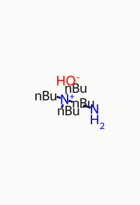 CCCC[N+](CCCC)(CCCC)CCCC.CN.[OH-]